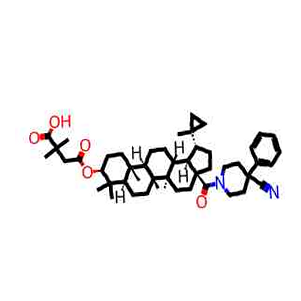 CC(C)(CC(=O)O[C@H]1CC[C@]2(C)[C@H]3CC[C@@H]4[C@H]5[C@H](C6(C)CC6)CC[C@]5(C(=O)N5CCC(C#N)(c6ccccc6)CC5)CC[C@@]4(C)[C@]3(C)CC[C@H]2C1(C)C)C(=O)O